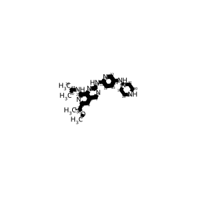 CO[C@H](C)c1cc2cnc(Nc3ccc(NN4CCNCC4)cn3)nc2c(NC(C)C)n1